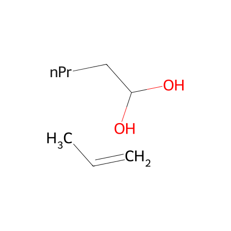 C=CC.CCCCC(O)O